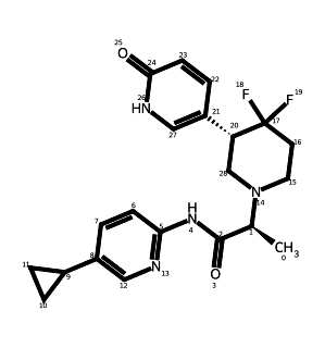 C[C@@H](C(=O)Nc1ccc(C2CC2)cn1)N1CCC(F)(F)[C@@H](c2ccc(=O)[nH]c2)C1